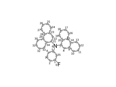 Fc1cccc(N(c2cc3ccccc3c3ccccc23)c2cc3ccccc3c3ccccc23)c1